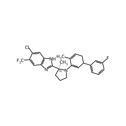 CC1=CCC(c2cccc(F)c2)[C]=C1N1CCC[C@@]1(C)c1nc2cc(C(F)(F)F)c(Cl)cc2[nH]1